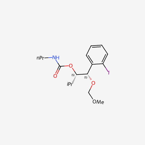 CCCNC(=O)O[C@@H](C(C)C)[C@@H](OCOC)c1ccccc1I